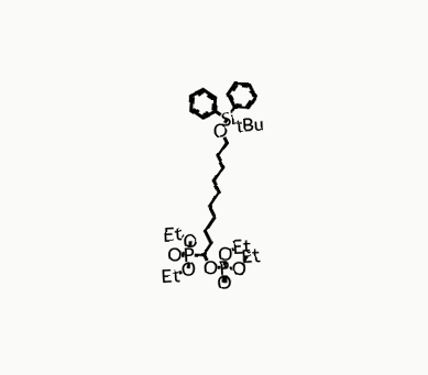 CCOP(=O)(OCC)OC(CCCCCCCCCO[Si](c1ccccc1)(c1ccccc1)C(C)(C)C)P(=O)(OCC)OCC